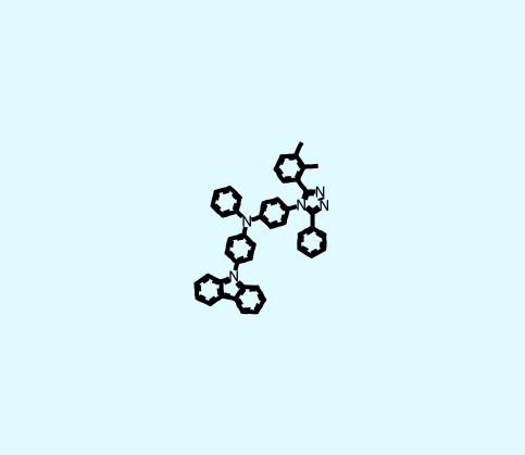 Cc1cccc(-c2nnc(-c3ccccc3)n2-c2ccc(N(c3ccccc3)c3ccc(-n4c5ccccc5c5ccccc54)cc3)cc2)c1C